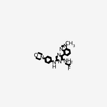 Cn1cnc2c(-c3ncc(Nc4ccc(N5CCOCC5)cc4)nc3NCC(F)F)cccc21